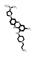 CN(C)C1CCN(c2ccc3c(c2)Sc2cc(C(F)(F)F)cc(NC4CCN(CCN)CC4)c2N3)C1